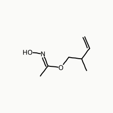 C=CC(C)COC(C)=NO